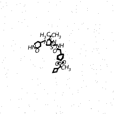 CC(C)[C@H]1c2nc(NC(=O)Cc3ccc(S(=O)(=O)C(C)C4CCC4)cc3)sc2CN1CC1CCNC(=O)C1